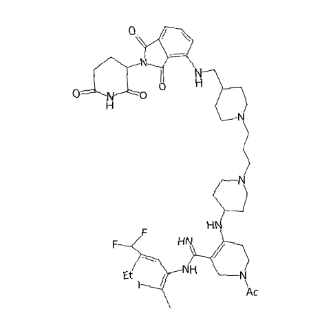 CC/C(=C\C(NC(=N)C1=C(NC2CCN(CCCN3CCC(CNc4cccc5c4C(=O)N(C4CCC(=O)NC4=O)C5=O)CC3)CC2)CCN(C(C)=O)C1)=C(\C)I)C(F)F